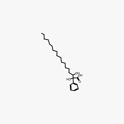 CCCCCCCCCCCCCCCC(O)C(O)(C(=O)O)c1ccccc1